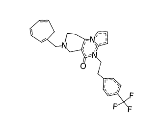 O=c1c2c(n3cccc3n1CCc1ccc(C(F)(F)F)cc1)CCN(CC1=CC=CC=CC1)C2